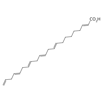 C=CCC=CCC=CCC=CCC=CCCCCCC=CC(=O)O